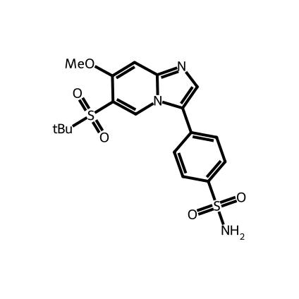 COc1cc2ncc(-c3ccc(S(N)(=O)=O)cc3)n2cc1S(=O)(=O)C(C)(C)C